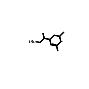 CC1=CC(C(C)CC(C)(C)C)CC(C)[CH]1